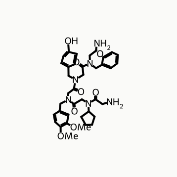 COc1ccc(CN(CC(=O)N(CC(=O)N(CC(N)=O)Cc2ccccc2)Cc2ccc(O)cc2)C(=O)CN(C(=O)CN)C2CCCC2)cc1OC